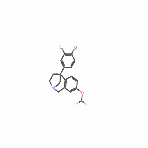 FC(F)Oc1ccc2c(c1)CN1CCC2(c2ccc(Cl)c(Cl)c2)CC1